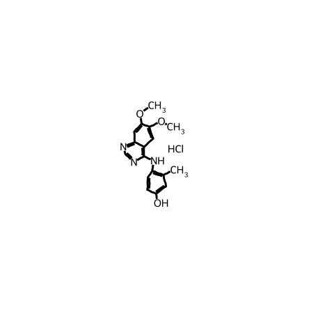 COc1cc2ncnc(Nc3ccc(O)cc3C)c2cc1OC.Cl